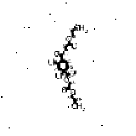 C=CCOC(=O)COC(=O)C1C=CC(Cl)(C(=O)OCC(=O)OCC=C)C=C1Cl